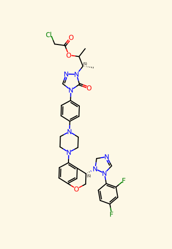 CC(OC(=O)CCl)[C@H](C)n1ncn(-c2ccc(N3CCN(c4ccc5cc4[C@H](N4CN=CN4c4ccc(F)cc4F)CO5)CC3)cc2)c1=O